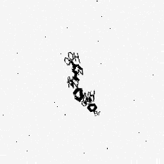 O=C(O)c1ccnc(-c2cn(-c3cccc(NS(=O)(=O)c4ccc(Br)cc4)c3)nn2)c1